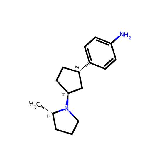 C[C@H]1CCCN1[C@H]1CC[C@H](c2ccc(N)cc2)C1